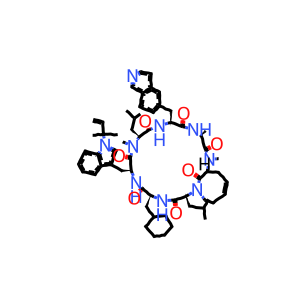 C=CC(C)(C)n1cc(C[C@@H]2NC(=O)[C@H](CC3CCCCC3)NC(=O)[C@H](CC(C)C)N3CC/C=C\C[C@@H](C3=O)N(C)C(=O)[C@H](C)NC(=O)[C@H](Cc3ccc4cnccc4c3)NC(=O)[C@H](CC(C)C)N(C)C2=O)c2ccccc21